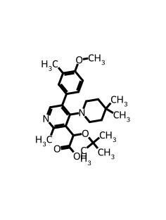 COc1ccc(-c2cnc(C)c(C(OC(C)(C)C)C(=O)O)c2N2CCC(C)(C)CC2)cc1C